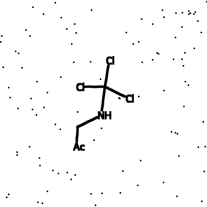 CC(=O)CNC(Cl)(Cl)Cl